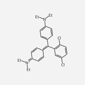 CCN(CC)c1ccc(C(=C2C=CC(=[N+](CC)CC)C=C2)c2cc(Cl)ccc2Cl)cc1